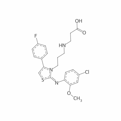 COc1cc(Cl)ccc1/N=c1/scc(-c2ccc(F)cc2)n1CCCNCCC(=O)O